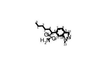 CCCCCC(c1ccc2cnn(C)c2c1)S(N)(=O)=O